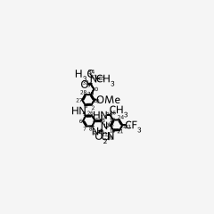 COc1cc(Nc2ccc3nc(Cl)nc(N[C@H](C)c4cc([N+](=O)[O-])cc(C(F)(F)F)c4)c3c2)ccc1CC(=O)N(C)C